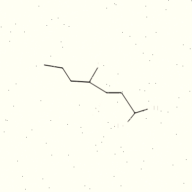 CCCC(O)[C@@H](N)CC(C)C